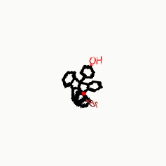 Oc1ccc(C2(c3ccccc3-c3ccccc3)c3ccccc3-c3ccc(Br)cc32)cc1